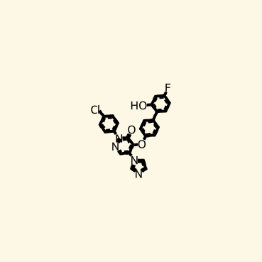 O=c1c(Oc2ccc(-c3ccc(F)cc3O)cc2)c(-n2ccnc2)cnn1-c1ccc(Cl)cc1